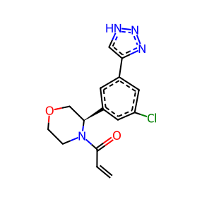 C=CC(=O)N1CCOC[C@H]1c1cc(Cl)cc(-c2c[nH]nn2)c1